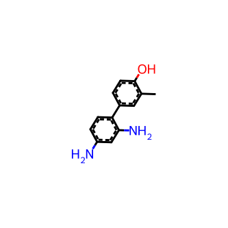 Cc1cc(-c2ccc(N)cc2N)ccc1O